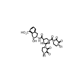 CCN1CCN(C(=O)NCC(NC(=O)N2CCN(CC)C(=O)C2=O)C(=O)N[C@H]2Cc3cccc(C(=O)O)c3CB2O)C(=O)C1=O